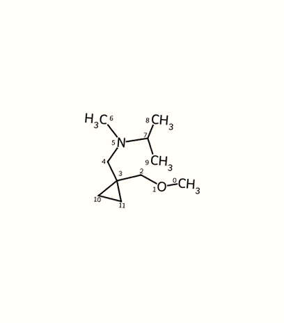 COCC1(CN(C)C(C)C)CC1